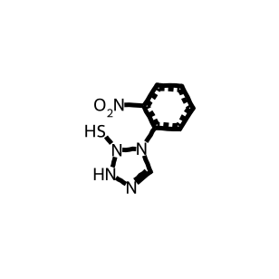 O=[N+]([O-])c1ccccc1N1C=NNN1S